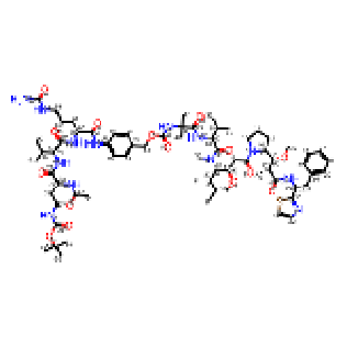 CC[C@H](C)[C@@H]([C@@H](CC(=O)N1CCC[C@H]1[C@H](OC)[C@@H](C)C(=O)N[C@@H](Cc1ccccc1)c1nccs1)OC)N(C)C(=O)[C@@H](NC(=O)C(C)(C)NC(=O)OCc1ccc(NC(=O)[C@H](CCCNC(N)=O)NC(=O)[C@@H](NC(=O)[C@H](CCNC(=O)OC(C)(C)C)NC(C)=O)C(C)C)cc1)C(C)C